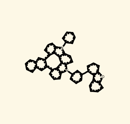 c1ccc(-n2c3cccc4c5cc6ccccc6cc5c5cccc6c5c5c(c43)c2ccc5n6-c2cccc(-c3cccc4oc5ccccc5c34)c2)cc1